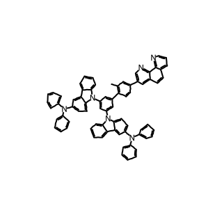 Cc1cc(-c2cnc3c(ccc4cccnc43)c2)ccc1-c1cc(-n2c3ccccc3c3cc(N(c4ccccc4)c4ccccc4)ccc32)cc(-n2c3ccccc3c3cc(N(c4ccccc4)c4ccccc4)ccc32)c1